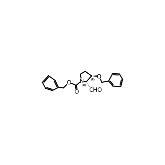 O=C[C@H]1[C@H](OCc2ccccc2)CCN1C(=O)OCc1ccccc1